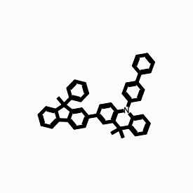 CC1(C)c2ccccc2N(c2ccc(-c3ccccc3)cc2)c2ccc(-c3ccc4c(c3)C(C)(c3ccccc3)c3ccccc3-4)cc21